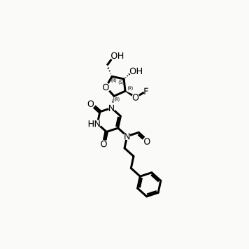 O=CN(CCCc1ccccc1)c1cn([C@@H]2O[C@H](CO)[C@H](O)[C@H]2OF)c(=O)[nH]c1=O